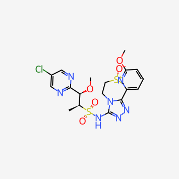 COc1cccc(-c2nnc(NS(=O)(=O)[C@@H](C)[C@H](OC)c3ncc(Cl)cn3)n2CC[S+](C)[O-])n1